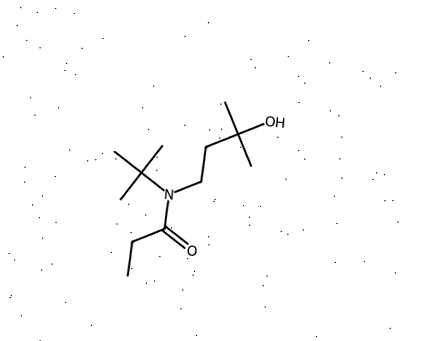 CCC(=O)N(CCC(C)(C)O)C(C)(C)C